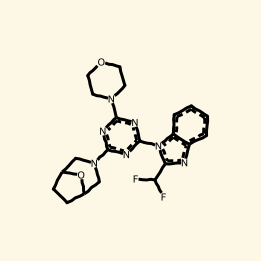 FC(F)c1nc2ccccc2n1-c1nc(N2CCOCC2)nc(N2CC3CCC(C2)O3)n1